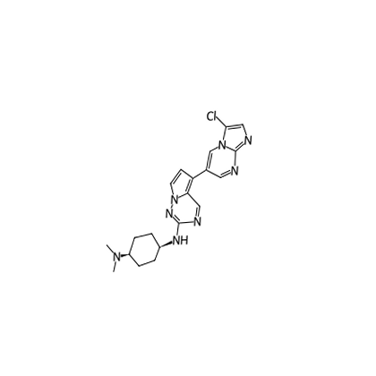 CN(C)[C@H]1CC[C@@H](Nc2ncc3c(-c4cnc5ncc(Cl)n5c4)ccn3n2)CC1